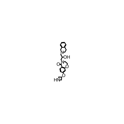 O=C1c2ccc(OC3CNC3)cc2OCCN1CC(O)CN1CCc2ccccc2C1